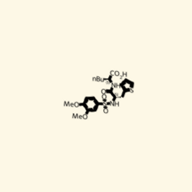 CCCC[C@H](NC(=O)[C@H](Cc1cccs1)NS(=O)(=O)c1ccc(OC)c(OC)c1)C(=O)O